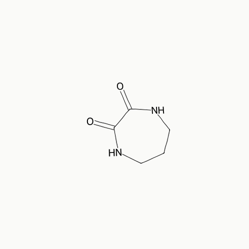 O=C1NCCCNC1=O